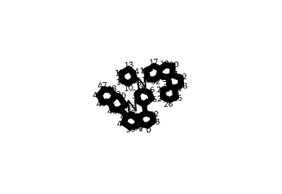 c1ccc(-c2ccc(N(c3ccccc3)c3ccc4ccc5ccc6ccccc6c5c4c3)cc2-n2c3ccccc3c3cc4ccccc4cc32)cc1